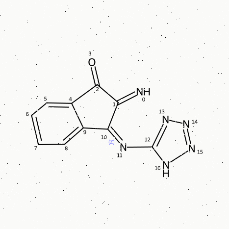 N=c1c(=O)c2ccccc2/c1=N/c1nnn[nH]1